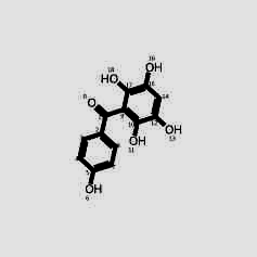 O=C(c1ccc(O)cc1)c1c(O)c(O)cc(O)c1O